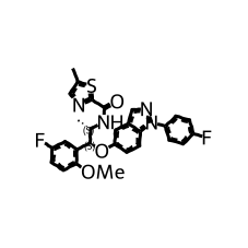 COc1ccc(F)cc1[C@H](Oc1ccc2c(cnn2-c2ccc(F)cc2)c1)[C@H](C)NC(=O)c1ncc(C)s1